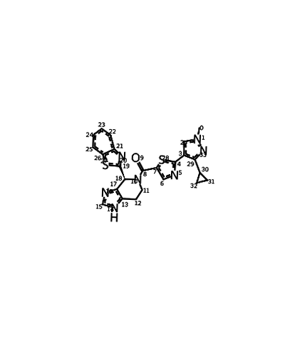 Cn1cc(-c2ncc(C(=O)N3CCc4[nH]cnc4[C@H]3c3nc4ccccc4s3)s2)c(C2CC2)n1